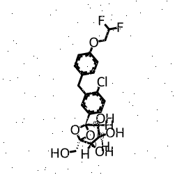 OC[C@]12O[C@@](c3ccc(Cl)c(Cc4ccc(OCC(F)F)cc4)c3)(O1)[C@H](O)[C@@H](O)[C@@H]2O